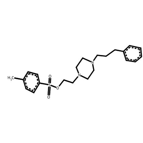 Cc1ccc(S(=O)(=O)OCCN2CCN(CCCc3ccccc3)CC2)cc1